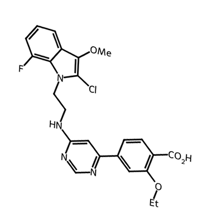 CCOc1cc(-c2cc(NCCn3c(Cl)c(OC)c4cccc(F)c43)ncn2)ccc1C(=O)O